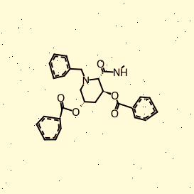 CNC(=O)[C@@H]1[C@@H](OC(=O)c2ccccc2)C[C@H](OC(=O)c2ccccc2)CN1Cc1ccccc1